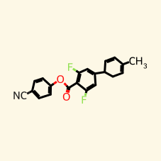 CC1=CCC(c2cc(F)c(C(=O)Oc3ccc(C#N)cc3)c(F)c2)C=C1